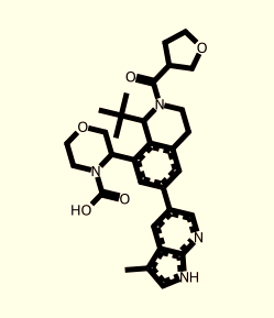 Cc1c[nH]c2ncc(-c3cc4c(c(C5COCCN5C(=O)O)c3)C(C(C)(C)C)N(C(=O)C3CCOC3)CC4)cc12